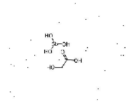 O=C(O)CO.[OH][Sb]([OH])[OH]